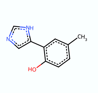 Cc1ccc(O)c(-c2cnc[nH]2)c1